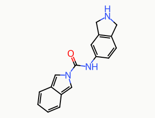 O=C(Nc1ccc2c(c1)CNC2)n1cc2ccccc2c1